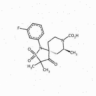 C[C@H]1C[C@]2(CCN1C(=O)O)C(=O)C(C)(C)S(=O)(=O)N2c1cccc(F)c1